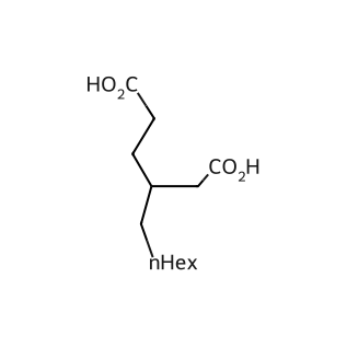 CCCCCCCC(CCC(=O)O)CC(=O)O